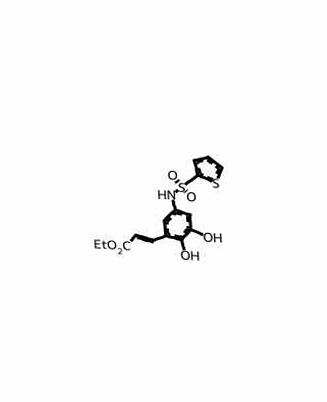 CCOC(=O)/C=C/c1cc(NS(=O)(=O)c2cccs2)cc(O)c1O